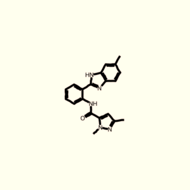 Cc1ccc2nc(-c3ccccc3NC(=O)c3cc(C)nn3C)[nH]c2c1